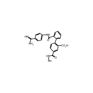 CCC(C)NC(=O)c1ccc(-c2ccccc2C(=O)Nc2ccc(C(=N)N)cc2)c(C(=O)O)c1